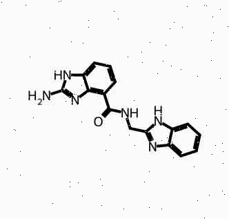 Nc1nc2c(C(=O)NCc3nc4ccccc4[nH]3)cccc2[nH]1